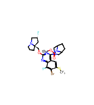 CC(C)(C)OC(=O)N1C2CCC1CN(c1nc(OC[C@@]34CCCN3C[C@H](F)C4)nc3c(F)c(Br)c(SC(F)(F)F)cc13)C2